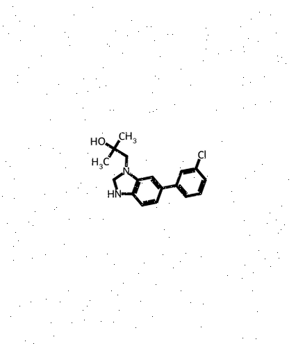 CC(C)(O)CN1CNc2ccc(-c3cccc(Cl)c3)cc21